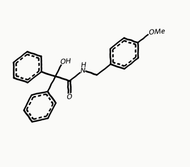 COc1ccc(CNC(=O)C(O)(c2ccccc2)c2ccccc2)cc1